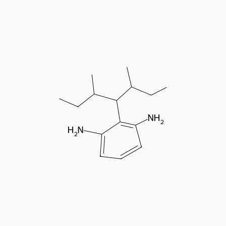 CCC(C)C(c1c(N)cccc1N)C(C)CC